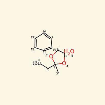 CC(C)(C)CC1(C)OCCO1.O.c1ccccc1